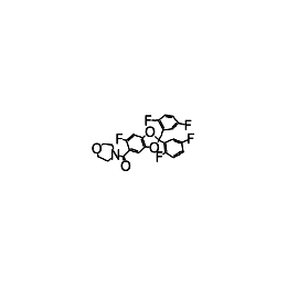 O=C(c1cc2c(cc1F)OC(c1cc(F)ccc1F)(c1cc(F)ccc1F)O2)N1CCOCC1